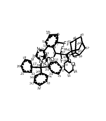 CS(=O)(=O)OC(c1c(F)cccc1-c1cn(C(c2ccccc2)(c2ccccc2)c2ccccc2)cn1)C(F)(F)C(=O)C12CC3CC(C1)C(OC1CCCCO1)C(C3)C2